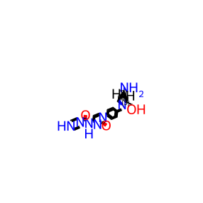 N[C@@H]1[C@H]2CN(Cc3ccc(-n4ccc(NC(=O)N5CCNCC5)nc4=O)cc3)[C@H](CO)[C@@H]12